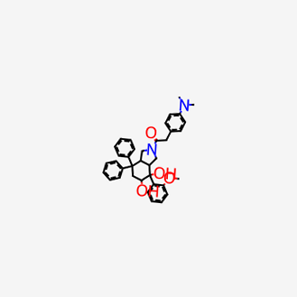 COc1ccccc1C1(O)C(O)CC(c2ccccc2)(c2ccccc2)C2CN(C(=O)Cc3ccc(N(C)C)cc3)CC21